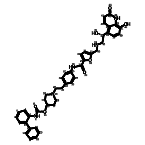 O=C(Nc1ccccc1-c1ccccc1)OC1CCN(CCc2ccc(NC(=O)c3ccc(CNC[C@H](O)c4ccc(O)c5[nH]c(=O)ccc45)o3)cc2)CC1